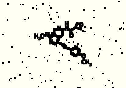 CNc1ncc(C#Cc2ccc(OC)cn2)c2cc(NC(=O)C3COC3)ncc12